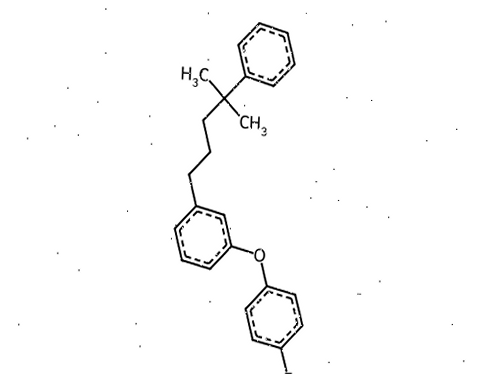 CC(C)(CCCc1cccc(Oc2ccc(F)cc2)c1)c1ccccc1